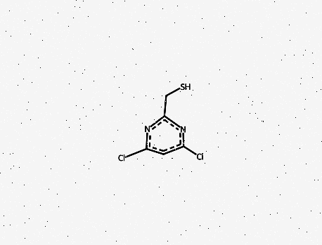 SCc1nc(Cl)cc(Cl)n1